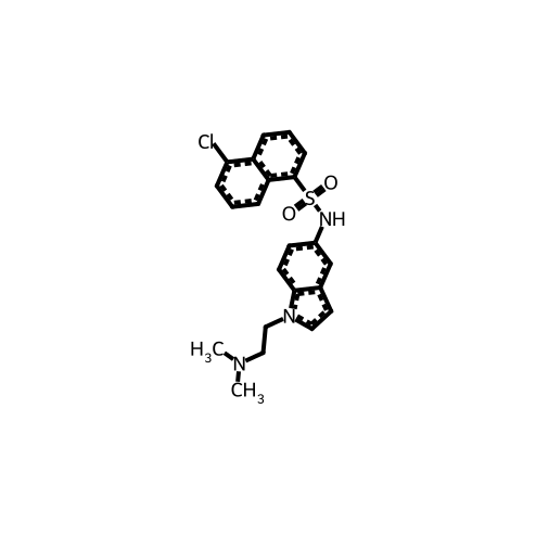 CN(C)CCn1ccc2cc(NS(=O)(=O)c3cccc4c(Cl)cccc34)ccc21